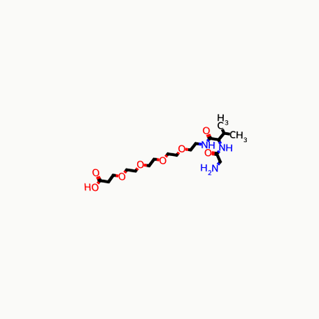 CC(C)C(NC(=O)CN)C(=O)NCCOCCOCCOCCOCCC(=O)O